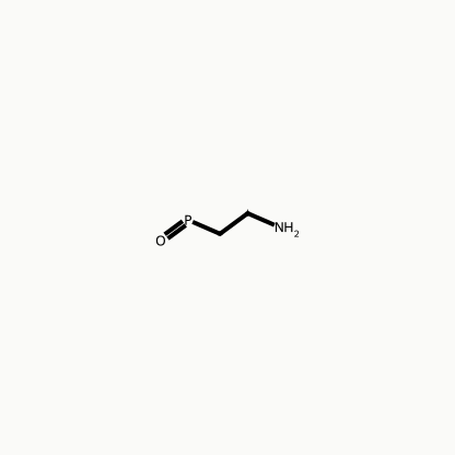 N[CH]CP=O